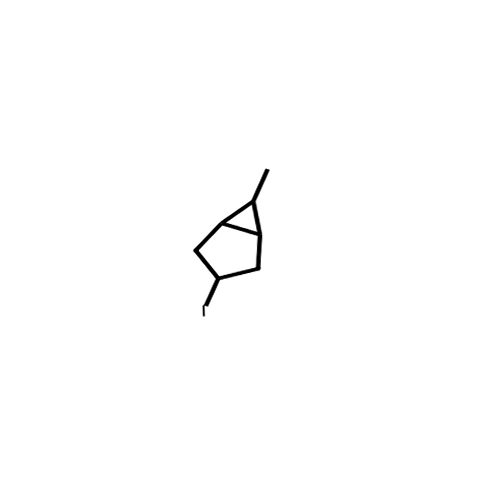 CC1C2CC(I)CC12